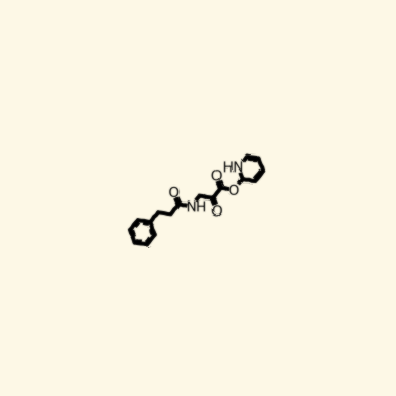 O=C(CCc1ccccc1)NCC(=O)C(=O)OC1C=CC=CN1